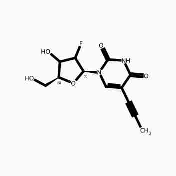 CC#Cc1cn([C@H]2O[C@@H](CO)C(O)C2F)c(=O)[nH]c1=O